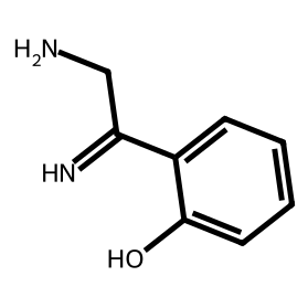 N=C(CN)c1ccccc1O